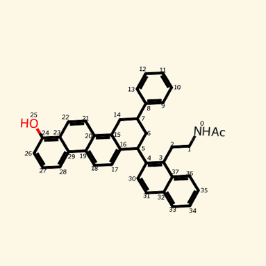 CC(=O)NCCc1c(C2CC(c3ccccc3)Cc3c2ccc2c3ccc3c(O)cccc32)ccc2ccccc12